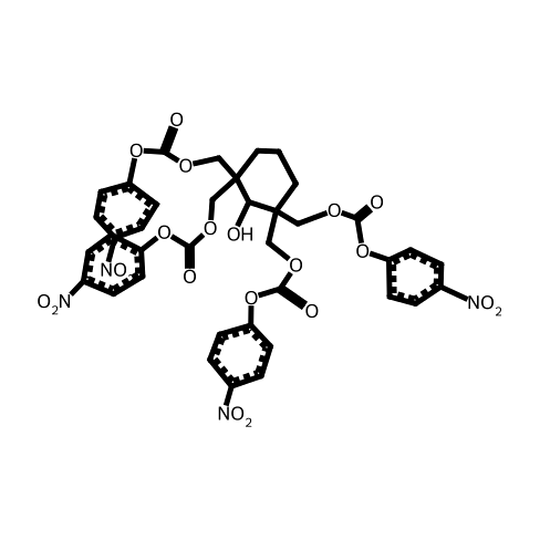 O=C(OCC1(COC(=O)Oc2ccc([N+](=O)[O-])cc2)CCCC(COC(=O)Oc2ccc([N+](=O)[O-])cc2)(COC(=O)Oc2ccc([N+](=O)[O-])cc2)C1O)Oc1ccc([N+](=O)[O-])cc1